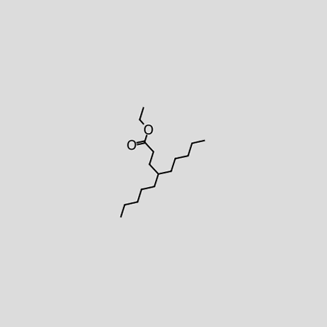 CCCCCC(CCCCC)CCC(=O)OCC